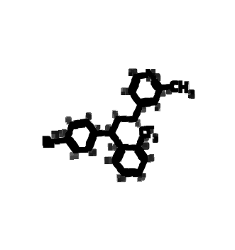 Cc1cc(CCC(c2ccc(Br)cc2)c2ccccc2C(F)(F)F)ccn1